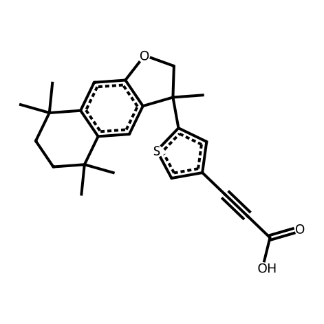 CC1(C)CCC(C)(C)c2cc3c(cc21)OCC3(C)c1cc(C#CC(=O)O)cs1